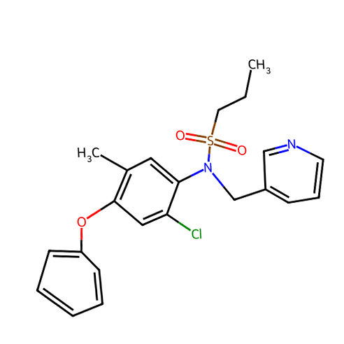 CCCS(=O)(=O)N(Cc1cccnc1)c1cc(C)c(Oc2ccccc2)cc1Cl